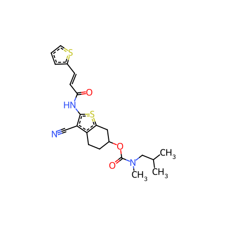 CC(C)CN(C)C(=O)OC1CCc2c(sc(NC(=O)C=Cc3cccs3)c2C#N)C1